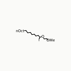 CCCCCCCCCCCCCCCC(I)OCCOC